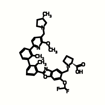 COc1nc(-c2cccc(-c3cccc(-c4nc5cc(CN6CCC[C@@H]6C(=O)O)c(OC(F)F)cc5o4)c3C)c2C)ccc1CN1CC[C@H](C)C1